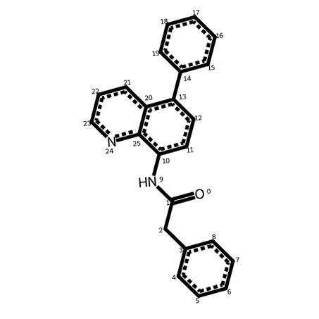 O=C(Cc1ccccc1)Nc1ccc(-c2ccccc2)c2cccnc12